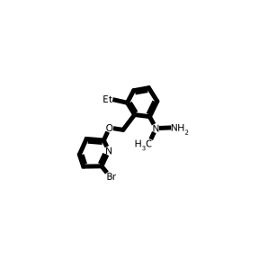 CCc1cccc(N(C)N)c1COc1cccc(Br)n1